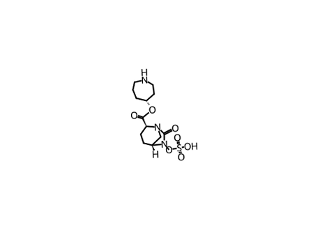 O=C(O[C@@H]1CCCNCC1)[C@@H]1CC[C@@H]2CN1C(=O)N2OS(=O)(=O)O